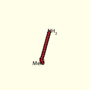 CNC(=O)OC[C@@H]1[C@@H]2CCc3nnn(CCOCCOCCOCCOCCOCCOCCOCCOCCOCCOCCOCCOCCOCCOCCOCCOCCOCCOCCOCCOCCOCCOCCOCCN)c3CC[C@@H]21